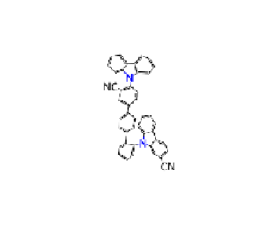 N#Cc1ccc2c3ccccc3n(-c3ccccc3-c3ccc(-c4ccc(-n5c6ccccc6c6ccccc65)c(C#N)c4)cc3)c2c1